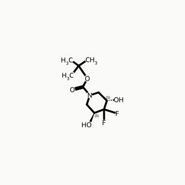 CC(C)(C)OC(=O)N1C[C@H](O)C(F)(F)[C@@H](O)C1